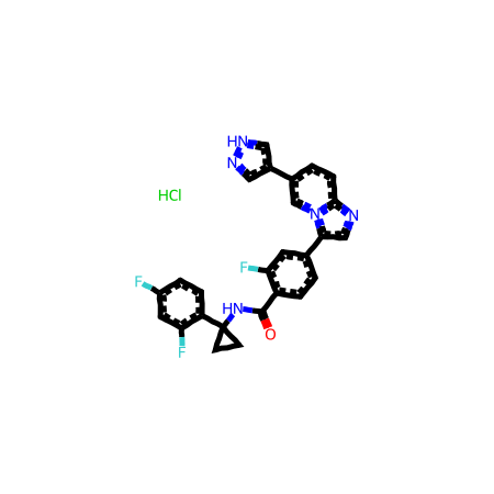 Cl.O=C(NC1(c2ccc(F)cc2F)CC1)c1ccc(-c2cnc3ccc(-c4cn[nH]c4)cn23)cc1F